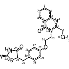 CCc1nc2ccccc2c(=O)n1CCOc1ccc(CC2SC(=N)NC2=O)cc1